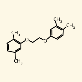 Cc1ccc(C)c(OCCOc2ccc(C)c(C)c2)c1